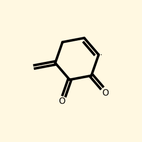 C=C1CC=[C]C(=O)C1=O